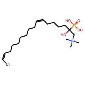 CC/C=C\CCCCCCC/C=C\CCCCC(O)(C[N+](C)(C)C)P(=O)(O)O